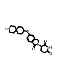 O=C1CCC(N2Cc3cc(SC4CCC5(CCNCC5)CC4)ccc3C2=O)C(=O)N1